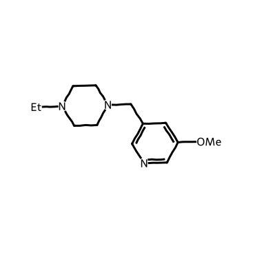 CCN1CCN(Cc2cncc(OC)c2)CC1